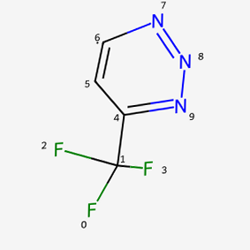 FC(F)(F)c1c[c]nnn1